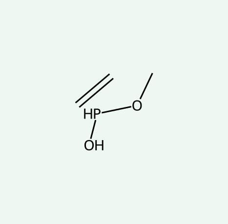 C=C.COPO